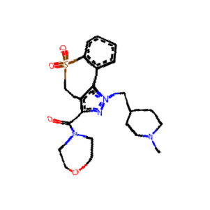 CN1CCC(Cn2nc(C(=O)N3CCOCC3)c3c2-c2ccccc2S(=O)(=O)C3)CC1